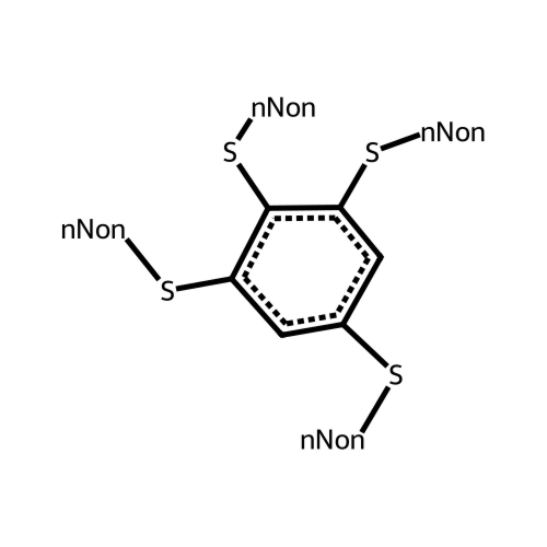 CCCCCCCCCSc1cc(SCCCCCCCCC)c(SCCCCCCCCC)c(SCCCCCCCCC)c1